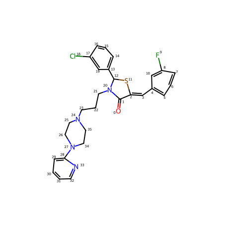 O=C1C(=Cc2cccc(F)c2)SC(c2cccc(Cl)c2)N1CCCN1CCN(c2ccccn2)CC1